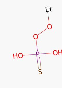 CCOOP(O)(O)=S